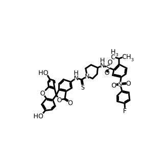 CC(C)c1ccc(S(=O)(=O)c2ccc(F)cc2)cc1S(=O)(=O)NC1CCN(C(=S)Nc2ccc3c(c2)C(=O)OC32c3ccc(O)cc3Oc3cc(O)ccc32)CC1